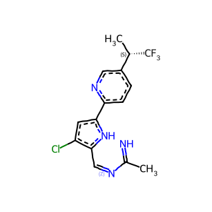 CC(=N)/N=C\c1[nH]c(-c2ccc([C@H](C)C(F)(F)F)cn2)cc1Cl